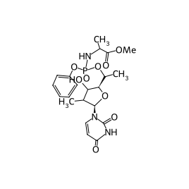 COC(=O)C(C)NP(=O)(Oc1ccccc1)OC(C)[C@H]1O[C@@H](n2ccc(=O)[nH]c2=O)C(C)C1O